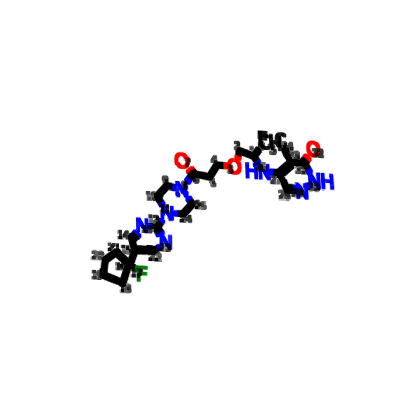 CC(COCCC(=O)N1CCN(c2ncc(C3(F)CCCC3)cn2)CC1)Nc1cn[nH]c(=O)c1C(F)(F)F